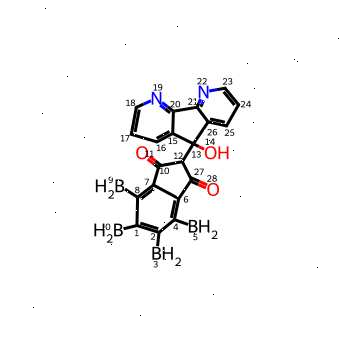 Bc1c(B)c(B)c2c(c1B)C(=O)C(C1(O)c3cccnc3-c3ncccc31)C2=O